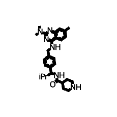 Cc1ccc2c(NCc3ccc(C(NC(=O)C4CCNCC4)C(C)C)cc3)nc(N(C)C)nc2c1